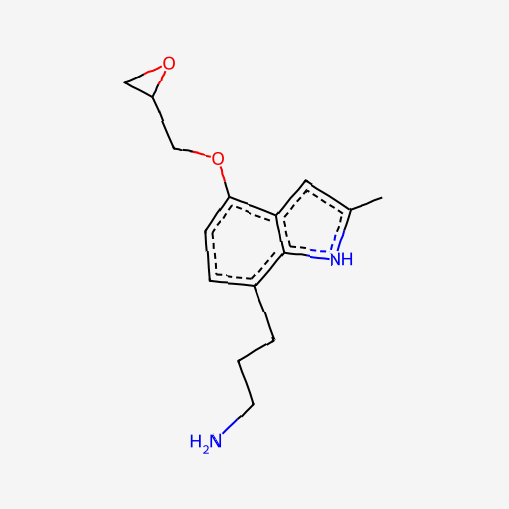 Cc1cc2c(OCC3CO3)ccc(CCCN)c2[nH]1